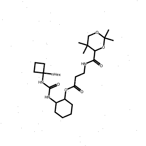 CCCCCCC1(NC(=O)NC2CCCCC2OC(=O)CCNC(=O)C2OC(C)(C)OCC2(C)C)CCC1